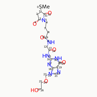 CSC1CC(=O)N(CCCC(=O)NCC(=O)Nc2nc3c(ncn3COCCO)c(=O)[nH]2)C1=O